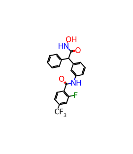 O=C(Nc1cccc(C(C(=O)NO)c2ccccc2)c1)c1ccc(C(F)(F)F)cc1F